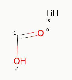 O=CO.[LiH]